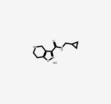 Cl.O=C(NCC1CC1)c1noc2c1CNCC2